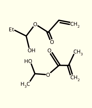 C=C(C)C(=O)OC(C)O.C=CC(=O)OC(O)CC